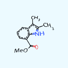 COC(=O)c1cccc2c(C)c(C)[nH]c12